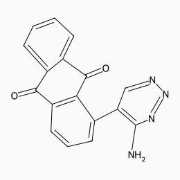 Nc1nnncc1-c1cccc2c1C(=O)c1ccccc1C2=O